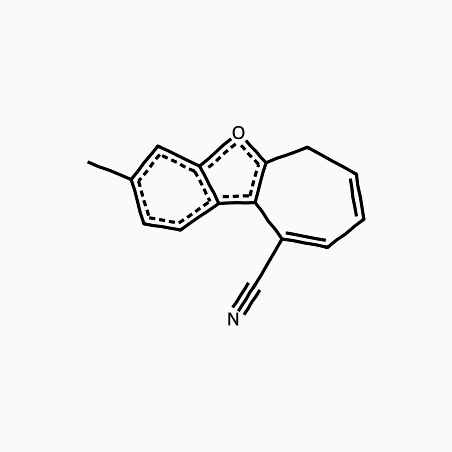 Cc1ccc2c3c(oc2c1)CC=CC=C3C#N